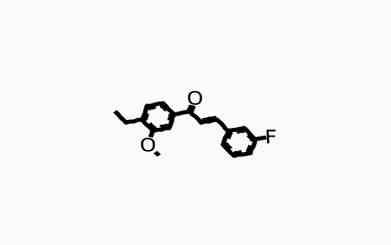 CCc1ccc(C(=O)/C=C/c2cccc(F)c2)cc1OC